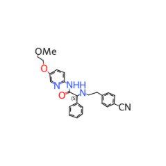 COCCOc1ccc(NC(=O)[C@@H](NCCc2ccc(C#N)cc2)c2ccccc2)nc1